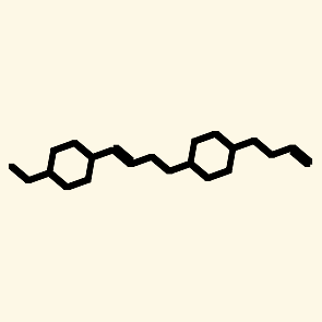 C=CCCC1CCC(CCC=CC2CCC(CC)CC2)CC1